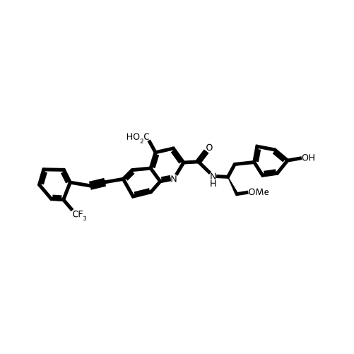 COC[C@H](Cc1ccc(O)cc1)NC(=O)c1cc(C(=O)O)c2cc(C#Cc3ccccc3C(F)(F)F)ccc2n1